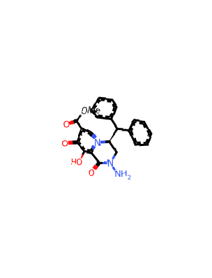 COC(=O)c1cn2c(c(O)c1=O)C(=O)N(N)C[C@@H]2C(c1ccccc1)c1ccccc1